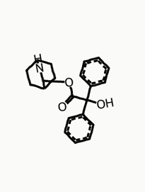 O=C(OC1NC2CCC1CC2)C(O)(c1ccccc1)c1ccccc1